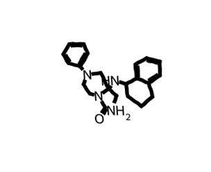 CCC1(NC2CCCc3ccccc32)CN(c2ccccc2)CCN1C(N)=O